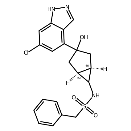 O=S(=O)(Cc1ccccc1)NC1[C@H]2CC(O)(c3cc(Cl)cc4[nH]ncc34)C[C@@H]12